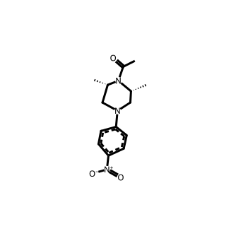 CC(=O)N1[C@H](C)CN(c2ccc([N+](=O)[O-])cc2)C[C@@H]1C